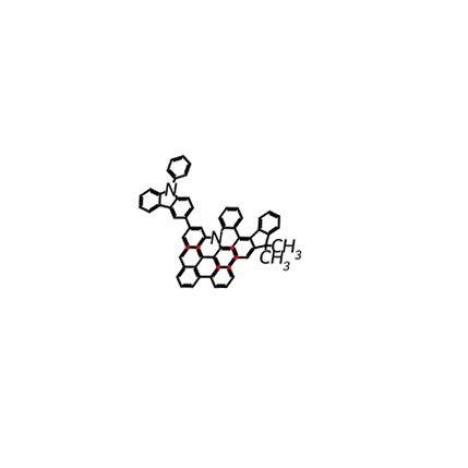 CC1(C)c2ccccc2-c2c(-c3ccccc3N(c3cccc(-c4ccc5c(c4)c4ccccc4n5-c4ccccc4)c3)c3ccccc3-c3cccc4cccc(-c5ccccc5)c34)cccc21